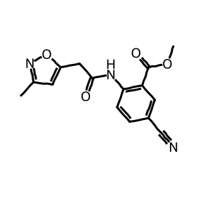 COC(=O)c1cc(C#N)ccc1NC(=O)Cc1cc(C)no1